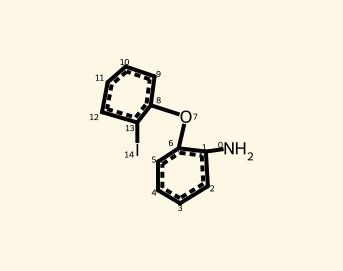 Nc1ccccc1Oc1ccccc1I